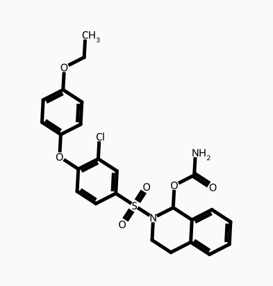 CCOc1ccc(Oc2ccc(S(=O)(=O)N3CCc4ccccc4C3OC(N)=O)cc2Cl)cc1